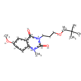 CC(C)C(C)(C)[SiH2]OCCCn1c(=O)c2cc(OC(F)(F)F)ccc2n(C)c1=O